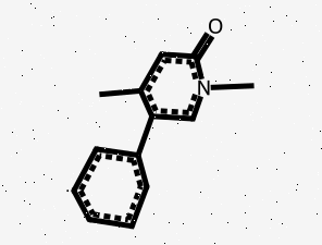 Cc1cc(=O)n(C)cc1-c1c[c]ccc1